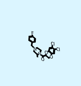 CC1CN(Cc2ccc(F)cc2)CCN1C(=O)C1COc2cc(Cl)c(Cl)cc2O1